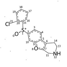 [O-][S+](c1ccc2c3c(oc2c1)CNCC3)c1ccccc1Cl